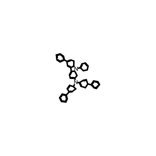 C1=CCCC(N2C3CC=C(c4ccccc4)C=C3C3=CC=C(N(C4=CCC(c5ccccc5)C=C4)C4C=CC(c5ccccc5)=CC4)CC32)=C1